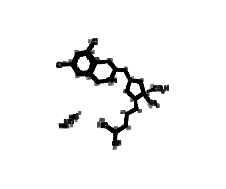 Cl.Cl.Cl.N[C@]1(C(=O)O)CN(CC2Cc3c(Cl)cc(Cl)cc3CN2)C[C@@H]1CCCB(O)O